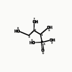 O=P(O)(O)C(O)C(O)CO